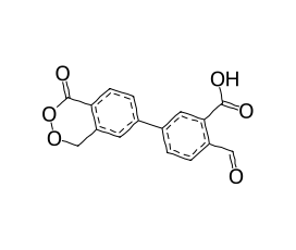 O=Cc1ccc(-c2ccc3c(c2)COOC3=O)cc1C(=O)O